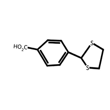 O=C(O)c1ccc(C2SCCS2)cc1